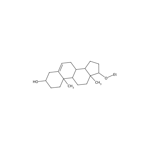 CCOC1CCC2C3CC=C4CC(O)CCC4(C)C3CCC12C